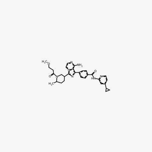 COCCC(=O)N1CC(c2nc(-c3ccc(C(=O)Nc4cc(C5CC5)ccn4)cc3)c3c(N)nccn23)CCC1C